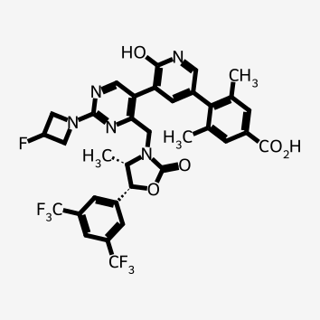 Cc1cc(C(=O)O)cc(C)c1-c1cnc(O)c(-c2cnc(N3CC(F)C3)nc2CN2C(=O)O[C@H](c3cc(C(F)(F)F)cc(C(F)(F)F)c3)[C@@H]2C)c1